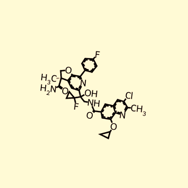 Cc1nc2c(OC3CC3)cc(C(=O)NCC(O)(c3cc4c(c(-c5ccc(F)cc5)n3)OC[C@]4(C)C(N)=O)C3(F)CC3)cc2cc1Cl